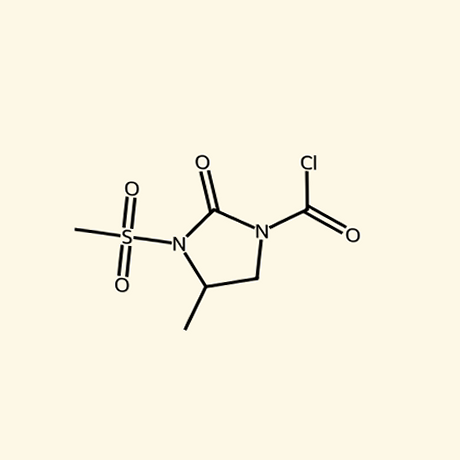 CC1CN(C(=O)Cl)C(=O)N1S(C)(=O)=O